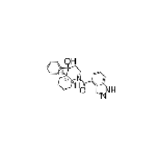 O=C(c1cccc2[nH]ncc12)N1CCC(O)(c2ccccc2)[C@H]2CCCC[C@@H]21